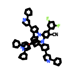 N#Cc1cc(-n2c3ccc(-c4ccnc(-c5ccccc5)c4)cc3c3cc(-c4ccnc(-c5ccccc5)c4)ccc32)c(-n2c3ccc(-c4ccnc(-c5ccccc5)c4)cc3c3cc(-c4ccnc(-c5ccccc5)c4)ccc32)cc1-c1cc(F)cc(F)c1